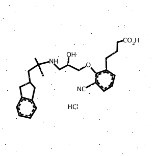 CC(C)(CC1Cc2ccccc2C1)NCC(O)COc1c(C#N)cccc1CCCC(=O)O.Cl